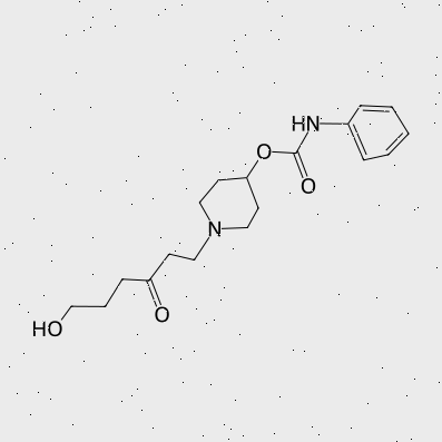 O=C(CCCO)CCN1CCC(OC(=O)Nc2ccccc2)CC1